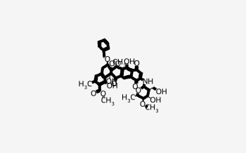 COC(=O)c1c(C)cc2c(c1O)[C@]1(O)C(=O)c3cc4c(c(O)c3C(=O)[C@]1(OC)[C@H](OCc1ccccc1)C2)C(=O)C=C(NC1O[C@@H](C)[C@H](OC)[C@@H](O)[C@H]1CO)C4=O